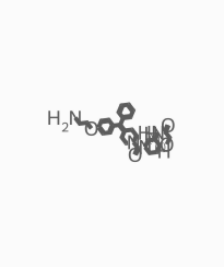 NCCOc1ccc(C(=C2CCN(C(=O)N3CC[C@@H]4OCC(=O)N[C@@H]4C3)CC2)c2ccccc2)cc1